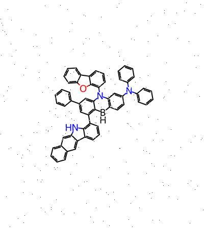 B1c2ccc(N(c3ccccc3)c3ccccc3)cc2N(c2cccc3c2oc2ccccc23)c2cc(-c3ccccc3)cc(-c3cccc4c3[nH]c3cc5ccccc5cc34)c21